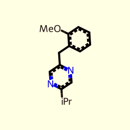 COc1ccccc1Cc1cnc(C(C)C)cn1